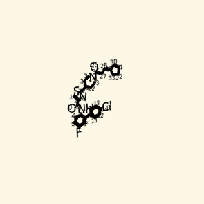 O=C(Nc1ccc(F)cc1-c1ccc(Cl)cc1)c1csc(C2CCN(C(=O)CCC3CCCC3)CC2)n1